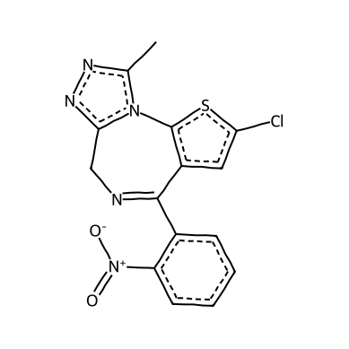 Cc1nnc2n1-c1sc(Cl)cc1C(c1ccccc1[N+](=O)[O-])=NC2